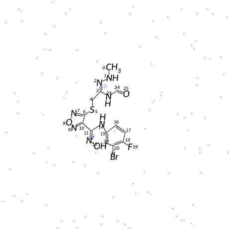 CN/N=C(/CSc1nonc1/C(=N/O)Nc1ccc(F)c(Br)c1)NC=O